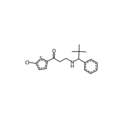 CC(C)(C)C(NCCC(=O)c1ccc(Cl)s1)c1ccccc1